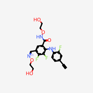 C#Cc1ccc(Nc2c(C(=O)NOCCO)cc(/C=N\OCCO)c(F)c2F)c(F)c1